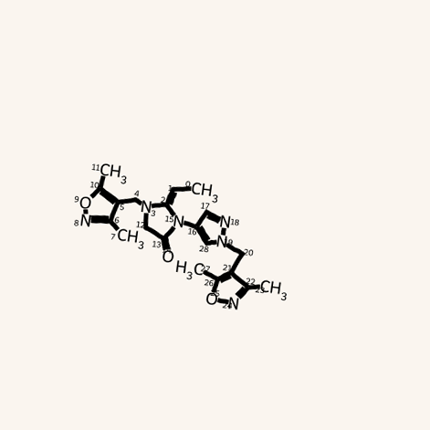 CC=C1N(Cc2c(C)noc2C)CC(=O)N1c1cnn(Cc2c(C)noc2C)c1